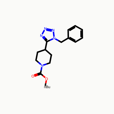 CCCCOC(=O)N1CCC(c2nnnn2Cc2ccccc2)CC1